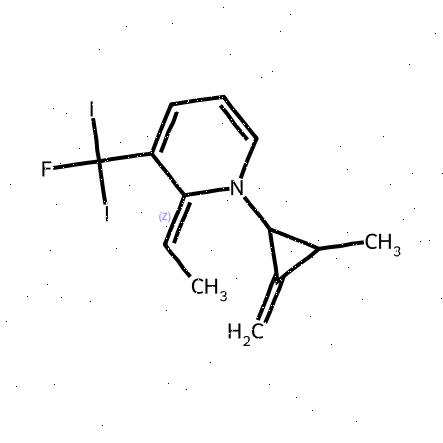 C=C1C(C)C1N1C=CC=C(C(F)(I)I)/C1=C/C